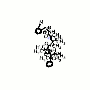 CN[C@H](C(=O)NC(C(=O)N(C)[C@H](/C=C(\C)C(=O)NS(=O)(=O)Cc1ccccc1C#N)C(C)C)C(C)(C)C)C(C)(C)c1ccccc1